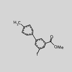 COC(=O)c1cc(I)cc(-c2ccc(C)cc2)c1